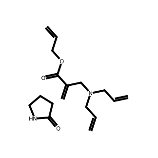 C=CCOC(=O)C(=C)CN(CC=C)CC=C.O=C1CCCN1